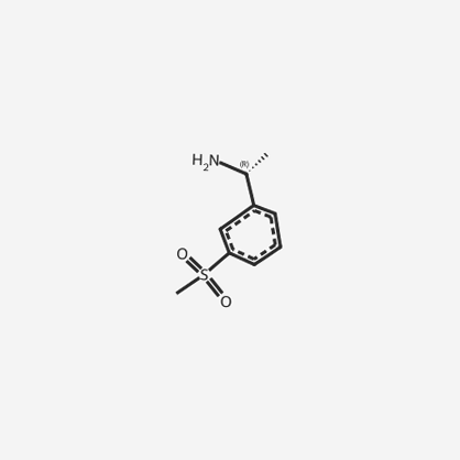 C[C@@H](N)c1cccc(S(C)(=O)=O)c1